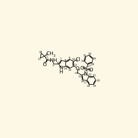 CC1(C(=O)NCc2cc3cc(Cl)c(OCc4cc5ccccc5n4S(=O)(=O)c4ccccc4)cc3[nH]2)CC1